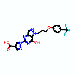 O=C(O)c1cnn(-c2nc(O)c3c(cnn3CCCOc3ccc(C(F)(F)F)cc3)n2)c1